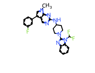 Cn1cc(-c2cccc(F)c2)c2cnc(NC3CCN(c4nc5ccccc5n4C(F)F)CC3)nc21